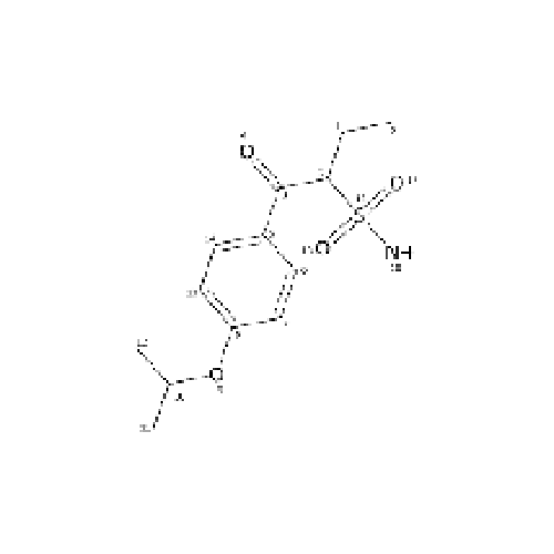 CCC(C(=O)c1ccc(OC(C)C)cc1)S([NH])(=O)=O